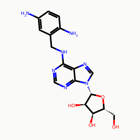 Nc1ccc(N)c(CNc2ncnc3c2ncn3[C@@H]2O[C@H](CO)[C@@H](O)[C@H]2O)c1